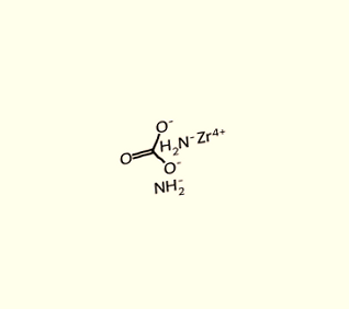 O=C([O-])[O-].[NH2-].[NH2-].[Zr+4]